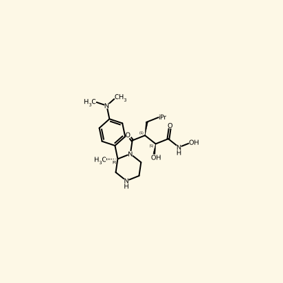 CC(C)C[C@H](C(=O)N1CCNC[C@@]1(C)c1ccc(N(C)C)cc1)[C@H](O)C(=O)NO